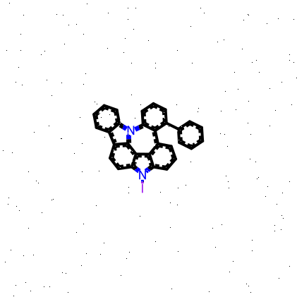 In1c2cccc3c4c(-c5ccccc5)cccc4n4c5ccccc5c5ccc1c(c32)c54